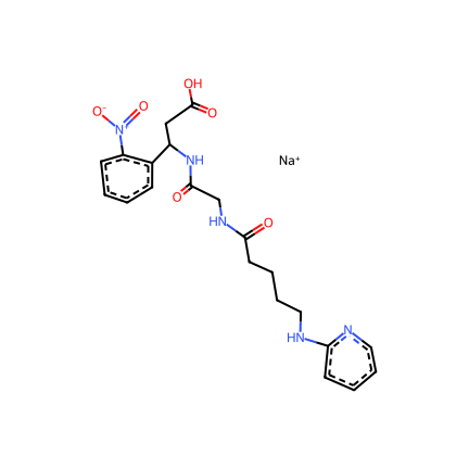 O=C(O)CC(NC(=O)CNC(=O)CCCCNc1ccccn1)c1ccccc1[N+](=O)[O-].[Na+]